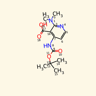 CN(C)c1nccc(NC(=O)OC(C)(C)C)c1C(=O)O